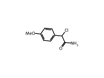 COc1ccc(C(Cl)C(N)=O)cc1